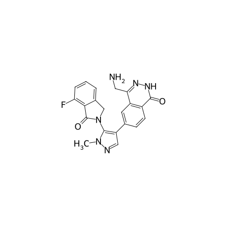 Cn1ncc(-c2ccc3c(=O)[nH]nc(CN)c3c2)c1N1Cc2cccc(F)c2C1=O